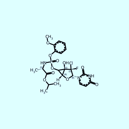 COc1ccccc1OP(=O)(N[C@@H](C)C(=O)OC(C)C)OC1[C@H]2O[C@@H](n3ccc(=O)[nH]c3=O)[C@@](F)(Cl)[C@@]12O